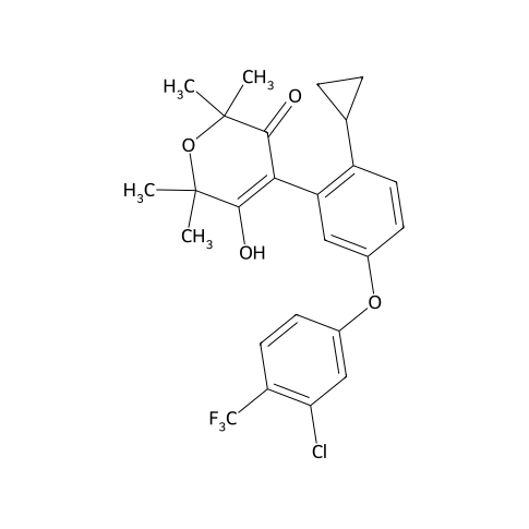 CC1(C)OC(C)(C)C(O)=C(c2cc(Oc3ccc(C(F)(F)F)c(Cl)c3)ccc2C2CC2)C1=O